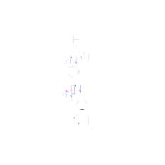 CC(C)n1ccc2cc(-c3nc(-c4cccc5c4CCC5N)no3)ccc21